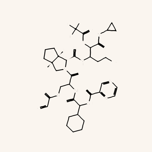 C=CC(=O)NCC(NC(=O)C(NC(=O)c1cnccn1)C1CCCCC1)C(=O)N1C[C@@H]2CCC[C@@H]2[C@H]1C(=O)NC(CCC)C(OC(=O)C(F)(F)F)C(=O)NC1CC1